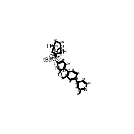 Cc1cc(-c2ccc3c(c2)COc2nc(OC4C[C@H]5CC[C@@H](C4)N5C(=O)OC(C)(C)C)ccc2-3)ccn1